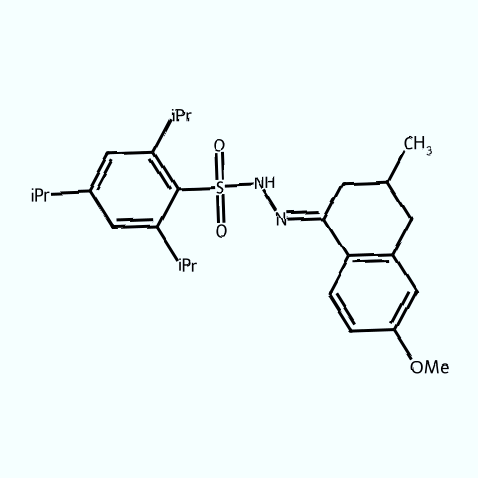 COc1ccc2c(c1)CC(C)CC2=NNS(=O)(=O)c1c(C(C)C)cc(C(C)C)cc1C(C)C